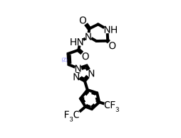 O=C(/C=C\n1cnc(-c2cc(C(F)(F)F)cc(C(F)(F)F)c2)n1)NN1CC(=O)NCC1=O